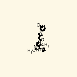 Cc1nc2c(c(N3CCC3)n1)[C@@H](C)N(C(=O)CC1CN(c3ccnc(Cl)c3)C1)C2